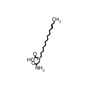 CCC=CCCCCCCCCCCN(CC(N)=O)C(=O)O